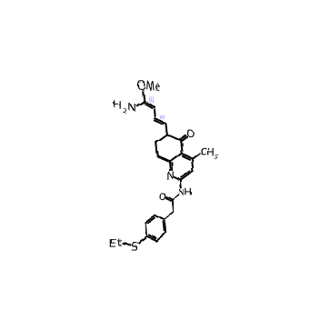 CCSc1ccc(CC(=O)Nc2cc(C)c3c(n2)CCC(/C=C/C=C(\N)OC)C3=O)cc1